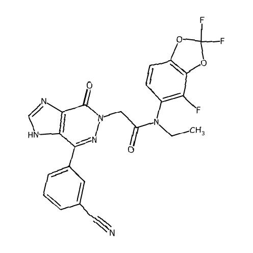 CCN(C(=O)Cn1nc(-c2cccc(C#N)c2)c2[nH]cnc2c1=O)c1ccc2c(c1F)OC(F)(F)O2